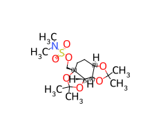 CN(C)S(=O)(=O)OC[C@@]12CC[C@H]3OC(C)(C)O[C@H]3[C@@H]1OC(C)(C)O2